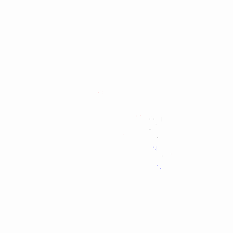 Cc1cc(F)ccc1COc1ccc(S(=O)(=O)C2CCN(C(N)=O)C(C)(C)C2(C)C(=O)O)cc1